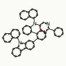 c1ccc(-c2ncc(N(c3ccccc3-c3ccccc3-c3ccc4c5ccccc5n(-c5cccc6ccccc56)c4c3)c3cccc4ccccc34)cn2)cc1